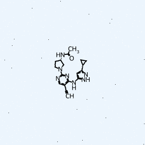 C#Cc1cnc(N2CC[C@H](NC(C)=O)C2)nc1Nc1cc(C2CC2)n[nH]1